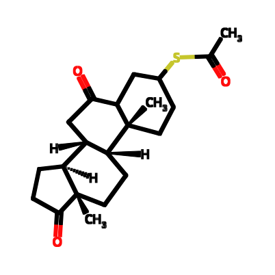 CC(=O)SC1CC[C@@]2(C)C(C1)C(=O)C[C@@H]1[C@H]2CC[C@]2(C)C(=O)CC[C@@H]12